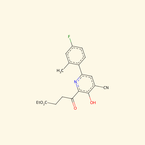 CCOC(=O)CCC(=O)c1nc(-c2ccc(F)cc2C)cc(C#N)c1O